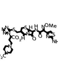 CCOC(=O)N1CCN(CCCn2nnnc2SCC2=C(C(=O)O)N3C(=O)C(NC(=O)C(=NOC)c4csc(N)n4)[C@@H]3SC2)CC1